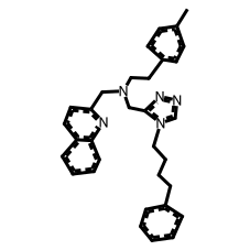 Cc1ccc(CCN(Cc2ccc3ccccc3n2)Cc2nncn2CCCCc2ccccc2)cc1